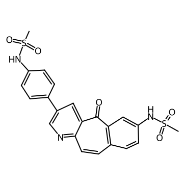 CS(=O)(=O)Nc1ccc(-c2cnc3ccc4ccc(NS(C)(=O)=O)cc4c(=O)c3c2)cc1